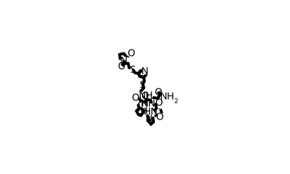 CC[C@H](NC(=O)[C@@H]1CCCN1C)C(=O)N[C@@H](CCC(N)=O)C(=O)N[C@@H](Cc1ccccc1)C(=O)NCCSCc1cncc(CSCCC(=O)N2CCC[C@H]2C=O)c1